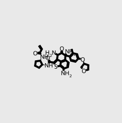 C=CC(=O)N[C@H]1CCC[C@H]1NC(=O)c1sc2c(N)ccc3c2c1C(N)C(=O)C3(N)c1ccc(O[C@H]2CCOC2)cc1C